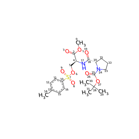 COC(=O)[C@H](COS(=O)(=O)c1ccc(C)cc1)NC(=O)[C@@H]1CCCN1C(=O)OC(C)(C)C